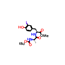 COC(=O)[C@H](Cc1ccc(O)c(I)c1)NC(=O)[C@H](C)NC(=O)OC(C)(C)C